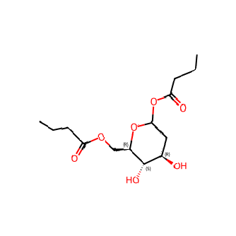 CCCC(=O)OC[C@H]1OC(OC(=O)CCC)C[C@@H](O)[C@@H]1O